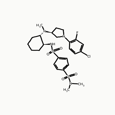 CN([C@H]1CCN(c2ccc(Cl)cc2F)C1)[C@H]1CCCC[C@@H]1NS(=O)(=O)c1ccc(S(=O)(=O)N(C)C)cc1